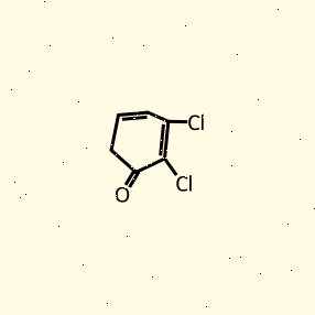 O=C1CC=CC(Cl)=C1Cl